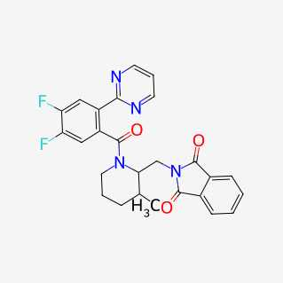 CC1CCCN(C(=O)c2cc(F)c(F)cc2-c2ncccn2)C1CN1C(=O)c2ccccc2C1=O